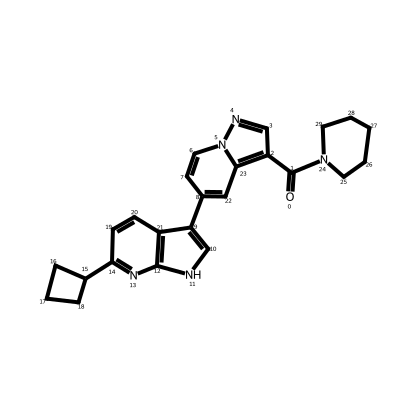 O=C(c1cnn2ccc(-c3c[nH]c4nc(C5CCC5)ccc34)cc12)N1CCCCC1